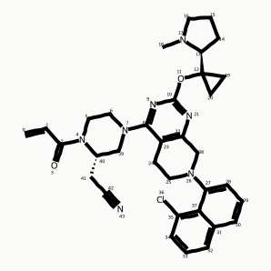 C=CC(=O)N1CCN(c2nc(OC3([C@@H]4CCCN4C)CC3)nc3c2CCN(c2cccc4cccc(Cl)c24)C3)C[C@@H]1CC#N